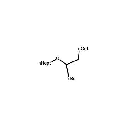 CCCCCCCCCC(CCCC)OCCCCCCC